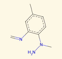 C=Nc1cc(C)ccc1N(C)N